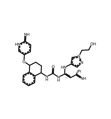 CC(C)C(=N)/C=C(/NC(=O)NC1CCC(Oc2ccc(=N)[nH]c2)c2ccccc21)Nc1cnn(CCO)c1